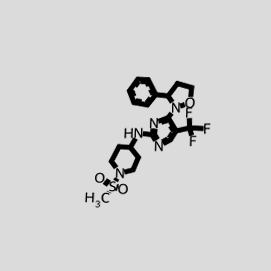 CS(=O)(=O)N1CCC(Nc2ncc(C(F)(F)F)c(N3OCCC3c3ccccc3)n2)CC1